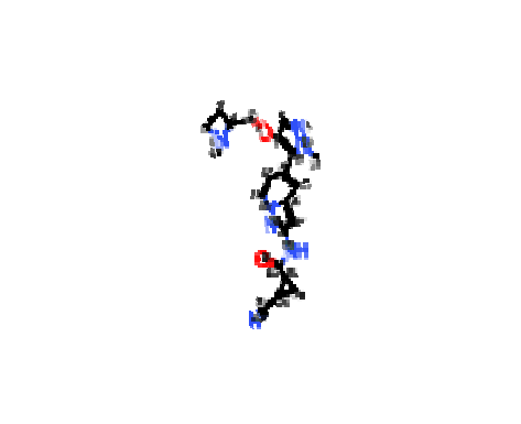 CN1CCC1COc1cnn(C)c1-c1ccn2nc(NC(=O)C3CC3C#N)cc2c1